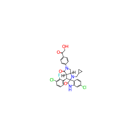 O=C(CO)c1ccc(N2C[C@H]3[C@@H](C2=O)[C@H](c2cccc(Cl)c2F)[C@]2(C(=O)Nc4cc(Cl)ccc42)N3CC2CC2)cc1